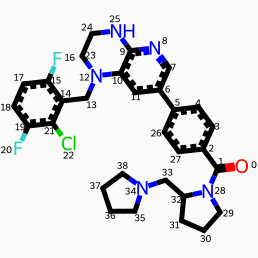 O=C(c1ccc(-c2cnc3c(c2)N(Cc2c(F)ccc(F)c2Cl)CCN3)cc1)N1CCCC1CN1CCCC1